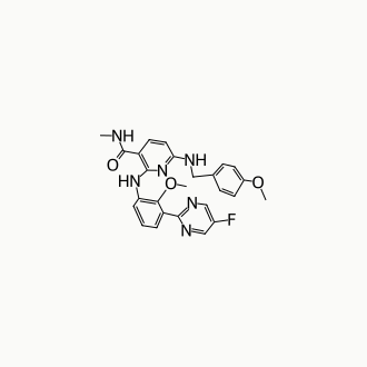 CNC(=O)c1ccc(NCc2ccc(OC)cc2)nc1Nc1cccc(-c2ncc(F)cn2)c1OC